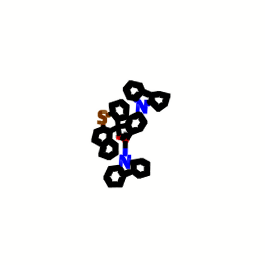 c1ccc2c(c1)Sc1ccc3ccccc3c1C21c2ccc(-n3c4ccccc4c4ccccc43)cc2-c2ccc(-n3c4ccccc4c4ccccc43)cc21